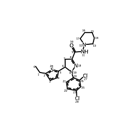 CCc1ccc(C2CC(C(=O)NN3CCCCC3)=NN2c2ccc(Cl)cc2Cl)s1